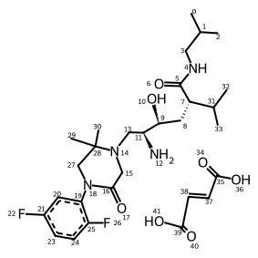 CC(C)CNC(=O)[C@@H](C[C@H](O)[C@@H](N)CN1CC(=O)N(c2cc(F)ccc2F)CC1(C)C)C(C)C.O=C(O)/C=C/C(=O)O